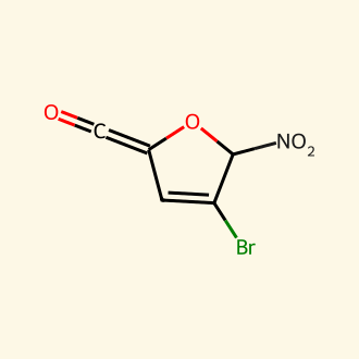 O=C=C1C=C(Br)C([N+](=O)[O-])O1